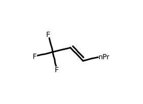 [CH2]CCC=CC(F)(F)F